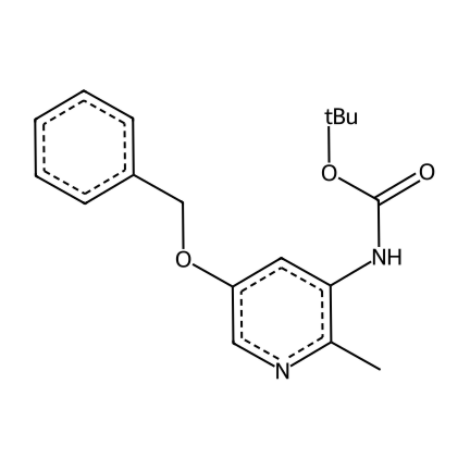 Cc1ncc(OCc2ccccc2)cc1NC(=O)OC(C)(C)C